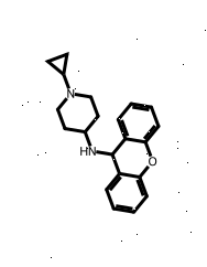 c1ccc2c(c1)Oc1ccccc1C2NC1CCN(C2CC2)CC1